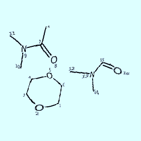 C1COCCO1.CC(=O)N(C)C.CN(C)C=O